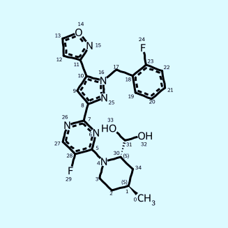 C[C@H]1CCN(c2nc(-c3cc(-c4ccon4)n(Cc4ccccc4F)n3)ncc2F)[C@H](C(O)O)C1